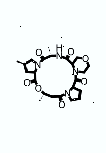 C[C@@H]1CC2C(=O)O[C@@H](C)CC(=O)N3CCCC3C(=O)N3CCOCC3C(=O)N[C@@H](C)C(=O)N2C1